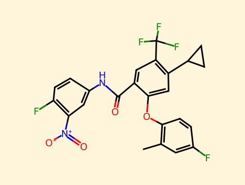 Cc1cc(F)ccc1Oc1cc(C2CC2)c(C(F)(F)F)cc1C(=O)Nc1ccc(F)c([N+](=O)[O-])c1